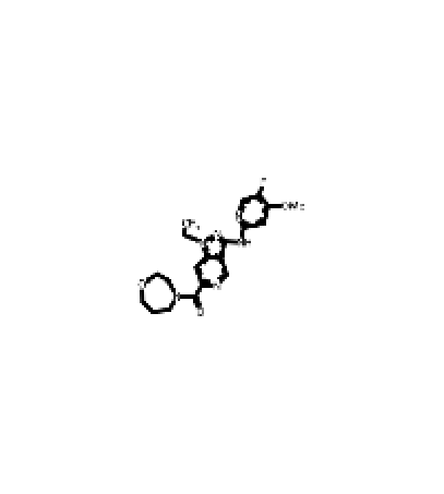 COc1cc(Nc2nn(CC(F)(F)F)c3cc(C(=O)N4CCCOCC4)ncc23)ncc1F